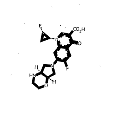 O=C(O)c1cn([C@@H]2C[C@@H]2F)c2cc(N3C[C@@H]4NCCO[C@@H]4C3)c(F)cc2c1=O